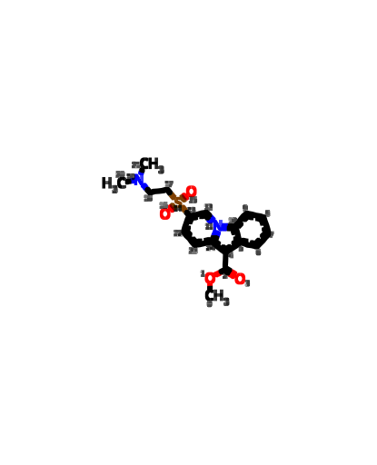 COC(=O)c1c2ccccc2n2cc(S(=O)(=O)CCN(C)C)ccc12